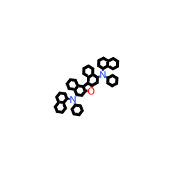 c1ccc(N(c2cccc3ccccc23)c2cc3oc4cc(N(c5ccccc5)c5cccc6ccccc56)c5ccccc5c4c3c3ccccc23)cc1